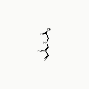 O=CC(O)=CNCC(=O)O